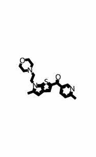 Cc1ccc(C(=O)c2cc3cc(C)n(CCN4CCOCC4)c3s2)cn1